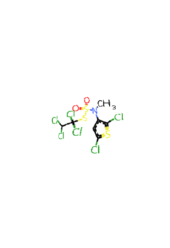 CN(c1cc(Cl)sc1Cl)S(=O)(=O)SC(Cl)(Cl)C(Cl)Cl